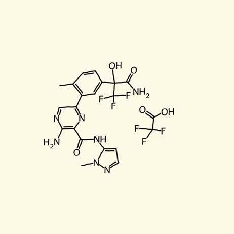 Cc1ccc(C(O)(C(N)=O)C(F)(F)F)cc1-c1cnc(N)c(C(=O)Nc2ccnn2C)n1.O=C(O)C(F)(F)F